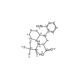 Nc1ccccc1N(CC(NC(=O)C(F)(F)F)C(=O)O)C1CCCCC1